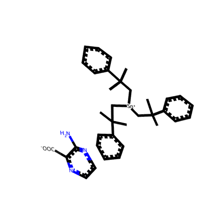 CC(C)([CH2][Sn+]([CH2]C(C)(C)c1ccccc1)[CH2]C(C)(C)c1ccccc1)c1ccccc1.Nc1nccnc1C(=O)[O-]